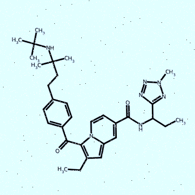 CCc1cc2cc(C(=O)NC(CC)c3nnn(C)n3)ccn2c1C(=O)c1ccc(CCC(C)(C)NC(C)(C)C)cc1